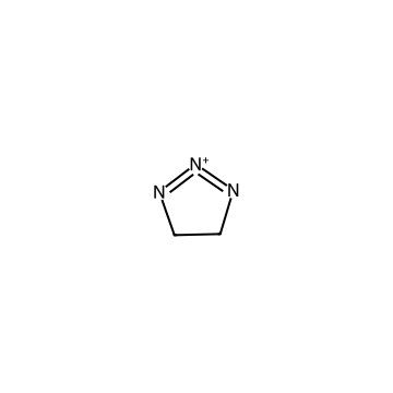 C1CN=[N+]=N1